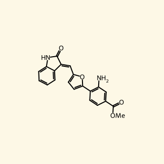 COC(=O)c1ccc(-c2ccc(/C=C3/C(=O)Nc4ccccc43)o2)c(N)c1